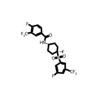 O=C(N[C@H]1CC[C@](F)(S(=O)(=O)c2cc(F)cc(C(F)(F)F)c2)CC1)c1ccc(F)c(C(F)(F)F)c1